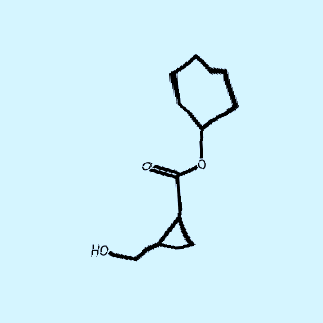 O=C(OC1CCCCC1)C1CC1CO